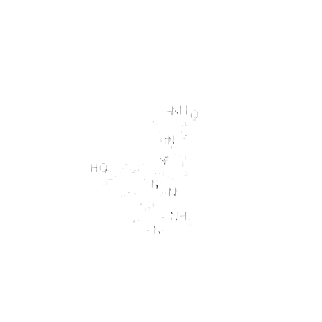 Nc1ncccc1-c1nc2ccc(N3CCCNC(=O)C3)nc2n1-c1ccc(CO)cc1